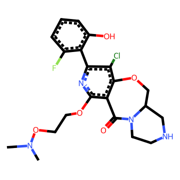 CN(C)OCCOc1nc(-c2c(O)cccc2F)c(Cl)c2c1C(=O)N1CCNCC1CO2